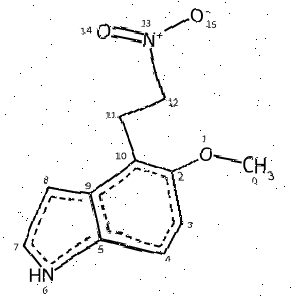 COc1ccc2[nH]ccc2c1CC[N+](=O)[O-]